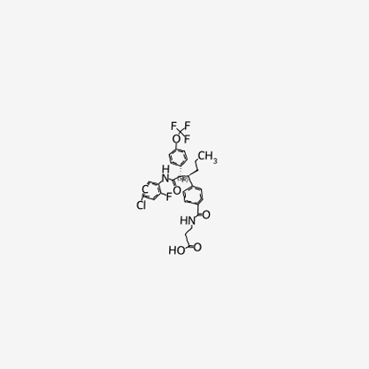 CCC[C@@H](c1ccc(C(=O)NCCC(=O)O)cc1)[C@H](C(=O)Nc1ccc(Cl)cc1F)c1ccc(OC(F)(F)F)cc1